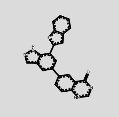 O=c1nc[nH]c2ccc(-c3cc(-c4cc5ccccc5s4)c4[nH]ncc4c3)cc12